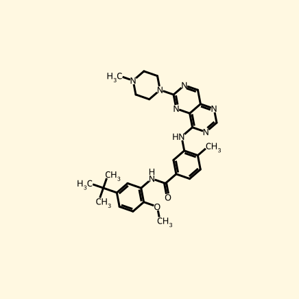 COc1ccc(C(C)(C)C)cc1NC(=O)c1ccc(C)c(Nc2ncnc3cnc(N4CCN(C)CC4)nc23)c1